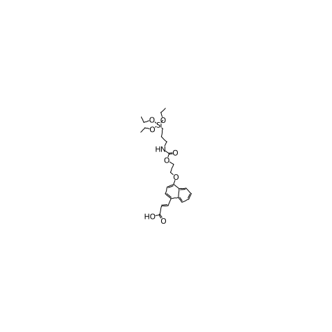 CCO[Si](CCCNC(=O)OCCOc1ccc(/C=C/C(=O)O)c2ccccc12)(OCC)OCC